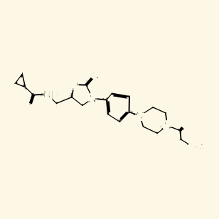 CC(=O)OCC(=O)N1CCN(c2ccc(N3CC(CNC(=S)C4CC4)OC3=O)cc2)CC1